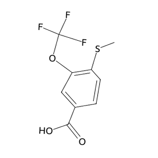 CSc1ccc(C(=O)O)cc1OC(F)(F)F